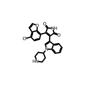 O=C1NC(=O)C(c2ccc(Cl)c3ccoc23)=C1c1cn(C2CCNCC2)c2ccccc12